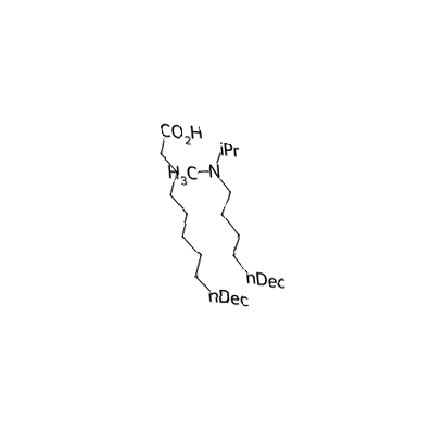 CCCCCCCCCCCCCCCCCC(=O)O.CCCCCCCCCCCCCCN(C)C(C)C